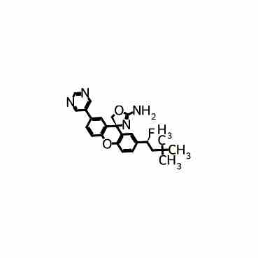 CC(C)(C)C[C@@H](F)c1ccc2c(c1)[C@]1(COC(N)=N1)c1cc(-c3cncnc3)ccc1O2